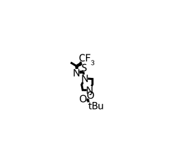 Cc1nc(N2CCN(OC(=O)C(C)(C)C)CC2)sc1C(F)(F)F